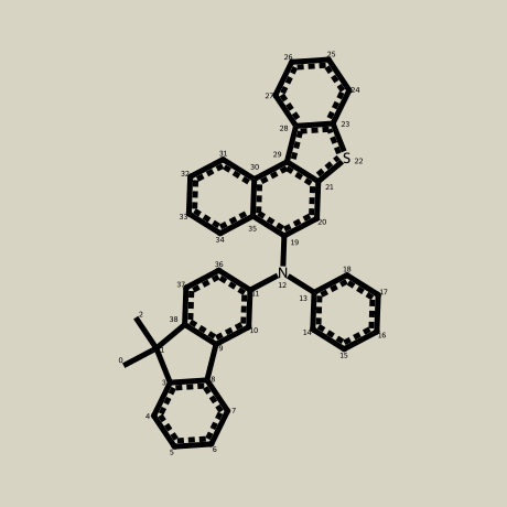 CC1(C)c2ccccc2-c2cc(N(c3ccccc3)c3cc4sc5ccccc5c4c4ccccc34)ccc21